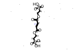 O=C(/C=C/C(=O)OCCS(=O)(=O)O)OCCS(=O)(=O)O